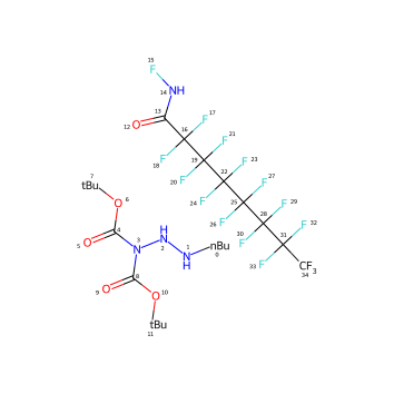 CCCCNNN(C(=O)OC(C)(C)C)C(=O)OC(C)(C)C.O=C(NF)C(F)(F)C(F)(F)C(F)(F)C(F)(F)C(F)(F)C(F)(F)C(F)(F)F